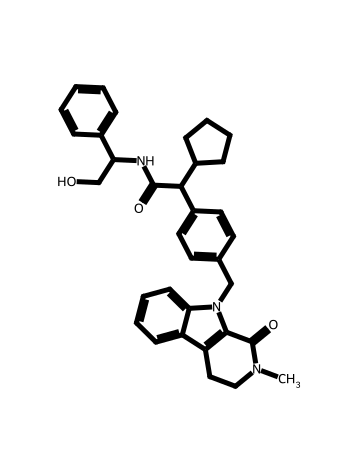 CN1CCc2c(n(Cc3ccc(C(C(=O)NC(CO)c4ccccc4)C4CCCC4)cc3)c3ccccc23)C1=O